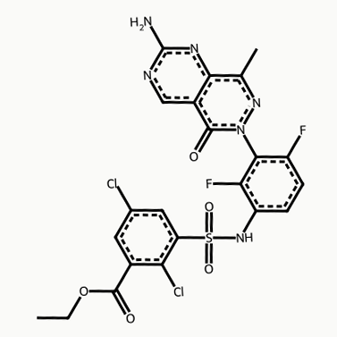 CCOC(=O)c1cc(Cl)cc(S(=O)(=O)Nc2ccc(F)c(-n3nc(C)c4nc(N)ncc4c3=O)c2F)c1Cl